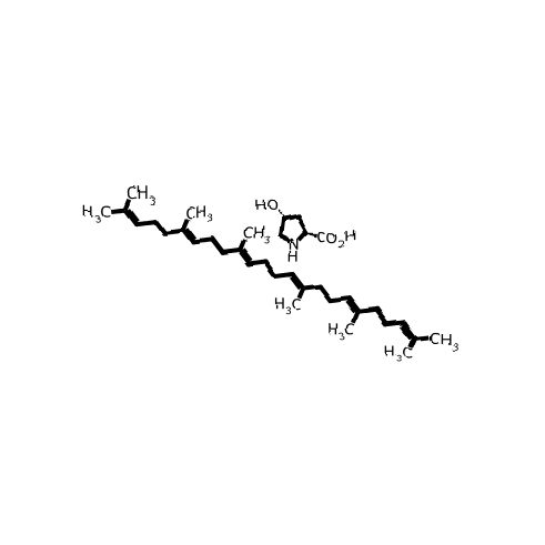 CC(C)=CCC/C(C)=C/CC/C(C)=C/CC/C=C(\C)CC/C=C(\C)CCC=C(C)C.O=C(O)[C@@H]1C[C@@H](O)CN1